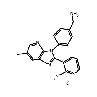 Cc1cnc2c(c1)nc(-c1cccnc1N)n2-c1ccc(CN)cc1.Cl